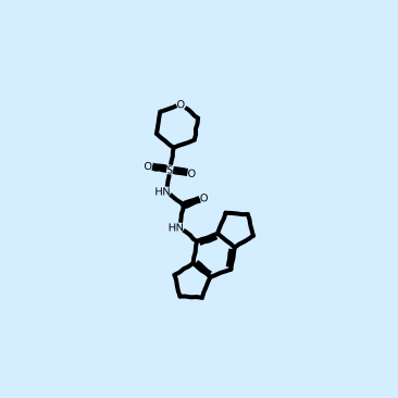 O=C(Nc1c2c(cc3c1CCC3)CCC2)NS(=O)(=O)C1CCOCC1